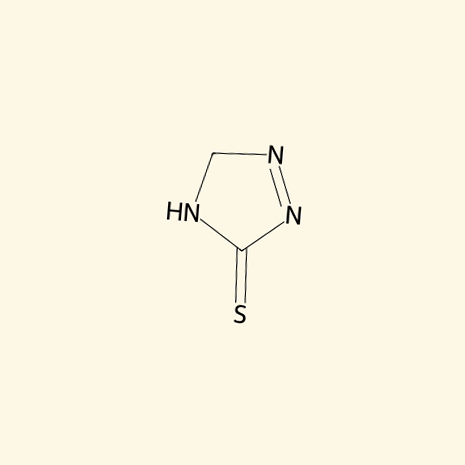 S=C1N=NCN1